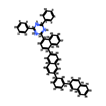 c1ccc(-c2nc(-c3ccccc3)nc(-c3ccc(-c4ccc5cc(-c6cccc(-c7ccc8ccccc8c7)c6)ccc5c4)c4ccccc34)n2)cc1